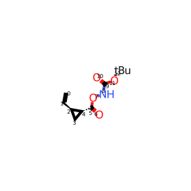 C=C[C@@H]1C[C@H]1C(=O)ONC(=O)OC(C)(C)C